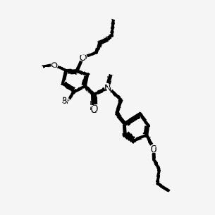 CCCCOc1ccc(CCN(C)C(=O)c2cc(OCCCC)c(OC)cc2Br)cc1